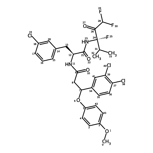 COc1ccc(OC(CC(=O)N[C@@H](Cc2cccc(Cl)c2)C(=O)N[C@@](F)(C(=O)C(F)F)C(C)C)c2ccc(Cl)c(Cl)c2)cc1